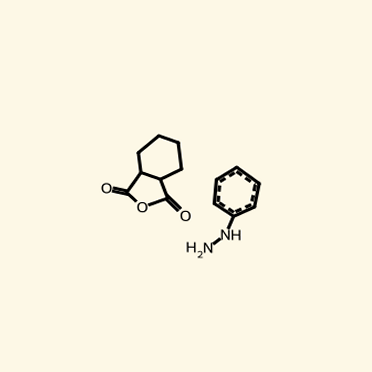 NNc1ccccc1.O=C1OC(=O)C2CCCCC12